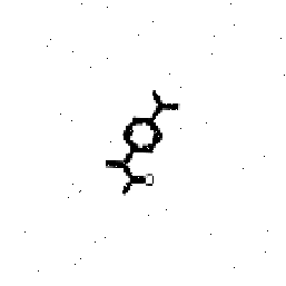 C=C(C(C)=O)c1ccc(C(C)C)cc1